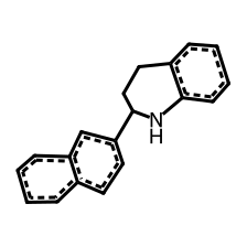 c1ccc2c(c1)CCC(c1ccc3ccccc3c1)N2